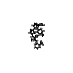 CN(C)c1ccccc1CNC(=O)Cc1csc(-c2cnn(C(C)(C)C)c2-c2ccc(F)cc2)n1